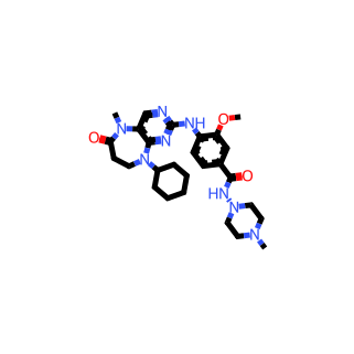 COc1cc(C(=O)NN2CCN(C)CC2)ccc1Nc1ncc2c(n1)N(C1CCCCC1)CCC(=O)N2C